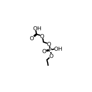 CCOP(=O)(O)OCOC(=O)O